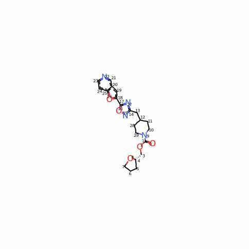 O=C(OC[C@@H]1CCCO1)N1CCC(Cc2noc(-c3cc4cnccc4o3)n2)CC1